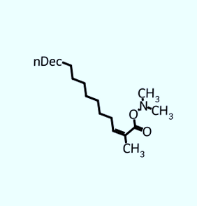 CCCCCCCCCCCCCCCCCC=C(C)C(=O)ON(C)C